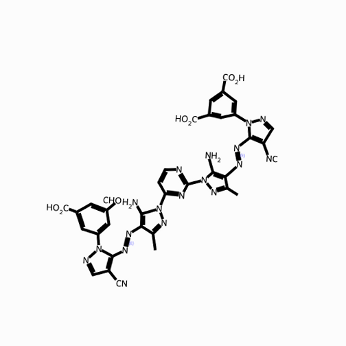 [C-]#[N+]c1cnn(-c2cc(C(=O)O)cc(C(=O)O)c2)c1/N=N/c1c(C)nn(-c2nccc(-n3nc(C)c(/N=N/c4c(C#N)cnn4-c4cc(C=O)cc(C(=O)O)c4)c3N)n2)c1N